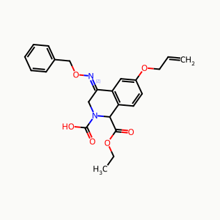 C=CCOc1ccc2c(c1)/C(=N/OCc1ccccc1)CN(C(=O)O)C2C(=O)OCC